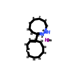 C1=C(C2=NNCCCCCCC2)CCCCCCCC1.I